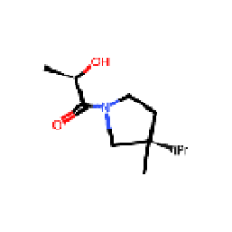 CC(C)[C@]1(C)CCN(C(=O)[C@@H](C)O)C1